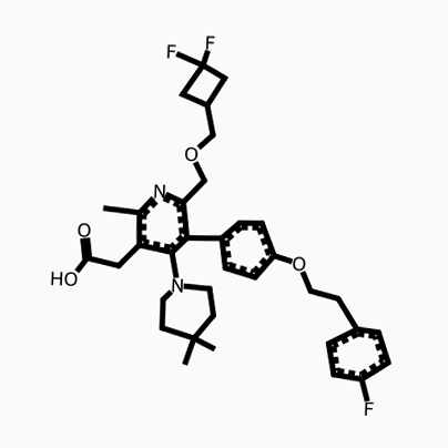 Cc1nc(COCC2CC(F)(F)C2)c(-c2ccc(OCCc3ccc(F)cc3)cc2)c(N2CCC(C)(C)CC2)c1CC(=O)O